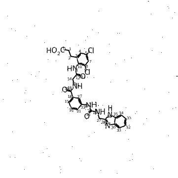 O=C(O)CCc1cc(Cl)cc(Cl)c1NC(=O)CNC(=O)c1cccc(NC(=O)NCc2nc3ccccc3[nH]2)c1